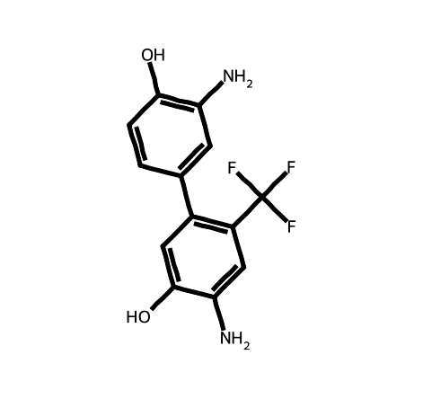 Nc1cc(-c2cc(O)c(N)cc2C(F)(F)F)ccc1O